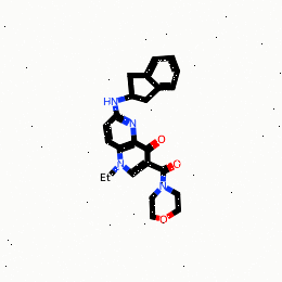 CCn1cc(C(=O)N2CCOCC2)c(=O)c2nc(NC3Cc4ccccc4C3)ccc21